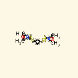 CC1CN(C(=S)SSCc2ccc(CSSC(=S)N3CC(C)OC(C)C3)cc2)CC(C)O1